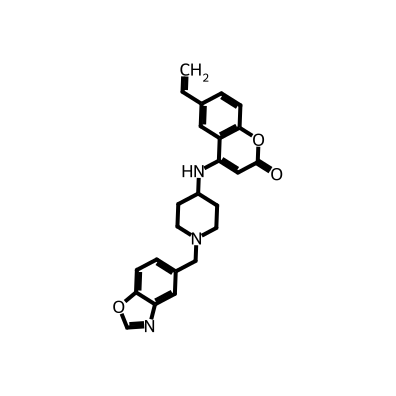 C=Cc1ccc2oc(=O)cc(NC3CCN(Cc4ccc5ocnc5c4)CC3)c2c1